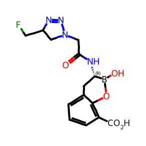 O=C(CN1CC(CF)N=N1)N[C@H]1Cc2cccc(C(=O)O)c2OB1O